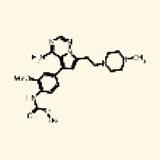 COc1cc(-c2cc(CCN3CCN(C)CC3)n3ncnc(N)c23)ccc1NC(=O)OC(C)(C)C